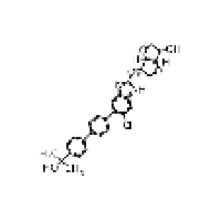 CC(C)(O)c1ccc(-c2ccc(-c3cc4nc(O[C@@H]5CO[C@H]6[C@@H]5OC[C@H]6O)[nH]c4cc3Cl)cc2)cc1